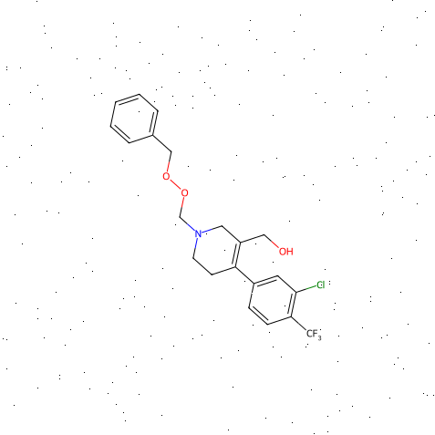 OCC1=C(c2ccc(C(F)(F)F)c(Cl)c2)CCN(COOCc2ccccc2)C1